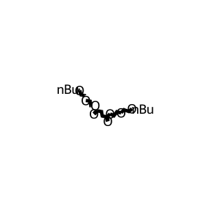 CCCCOCCOCCOC(=O)CCC(=O)OCCOCCOCCCC